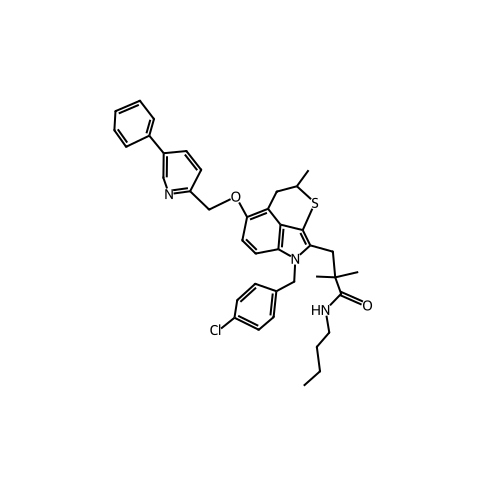 CCCCNC(=O)C(C)(C)Cc1c2c3c(c(OCc4ccc(-c5ccccc5)cn4)ccc3n1Cc1ccc(Cl)cc1)CC(C)S2